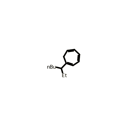 CCCCC(CC)C1=CC=CC=CC1